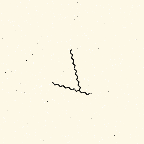 [CH2]CCCC(CCCCCCCCCC)CCCCCCCCCCCCCCC